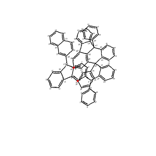 c1ccc(N(c2ccc3c(c2)c2ccccc2n3-c2ccc3ccccc3c2)c2ccccc2C2(c3ccccc3)c3ccccc3C3(c4ccccc4)c4ccccc4-c4cccc2c43)cc1